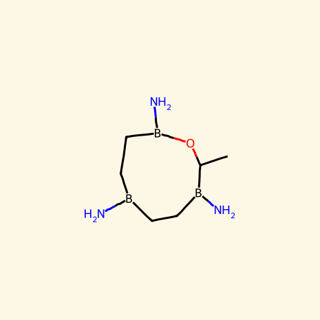 CC1OB(N)CCB(N)CCB1N